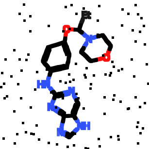 CCC(Oc1ccc(Nc2ncc3[nH]cnc3n2)cc1)N1CCOCC1